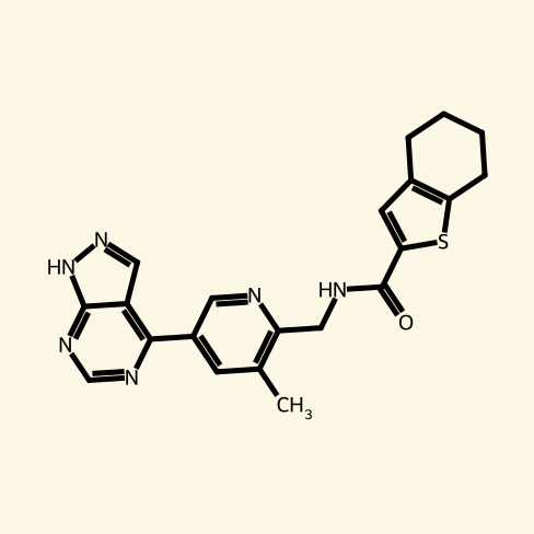 Cc1cc(-c2ncnc3[nH]ncc23)cnc1CNC(=O)c1cc2c(s1)CCCC2